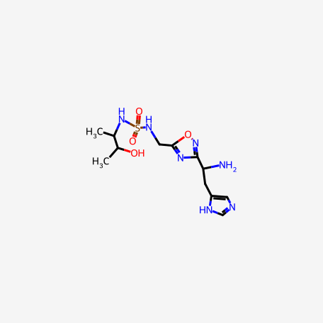 CC(O)C(C)NS(=O)(=O)NCc1nc(C(N)Cc2cnc[nH]2)no1